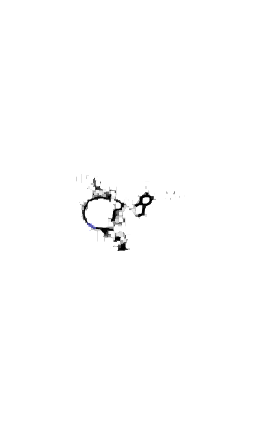 COc1cc2ccnc(O[C@@H]3C[C@H]4C(=O)NC5(C(=O)NS(=O)(=O)C6(F)CC6)CC5/C=C\CC[C@@H](C)C[C@@H](C)[C@H](NC(=O)OC(C)(C)C)C(=O)N4C3)c2cc1F